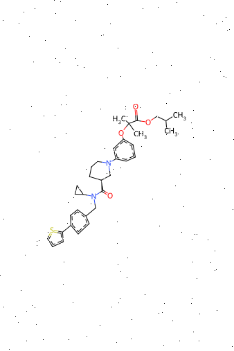 CC(C)COC(=O)C(C)(C)Oc1cccc(N2CCC[C@H](C(=O)N(Cc3ccc(-c4cccs4)cc3)C3CC3)C2)c1